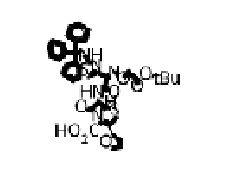 CC(C)(C)OC(=O)CO/N=C(\C(=O)N[C@@H]1C(=O)N2C(C(=O)O)=C([C@H]3CCCO3)CS[C@H]12)c1csc(NC(c2ccccc2)(c2ccccc2)c2ccccc2)n1